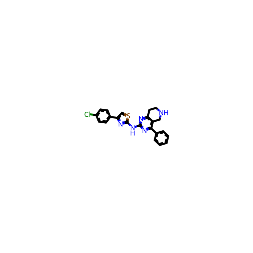 Clc1ccc(-c2csc(Nc3nc4c(c(-c5ccccc5)n3)CNCC4)n2)cc1